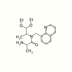 CCOC(OCC)C(C)N(Cc1cccc2cccnc12)C(=O)C(C)N